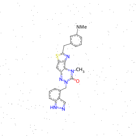 CNc1cccc(Cc2nc3c4n(C)c(=O)n(Cc5cccc6[nH]ncc56)nc-4cc3s2)c1